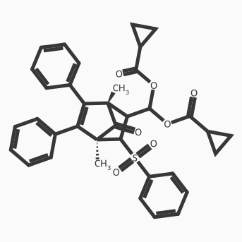 C[C@@]12C(=O)[C@](C)(C(c3ccccc3)=C1c1ccccc1)C(S(=O)(=O)c1ccccc1)C2C(OC(=O)C1CC1)OC(=O)C1CC1